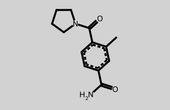 Cc1cc(C(N)=O)ccc1C(=O)N1CCCC1